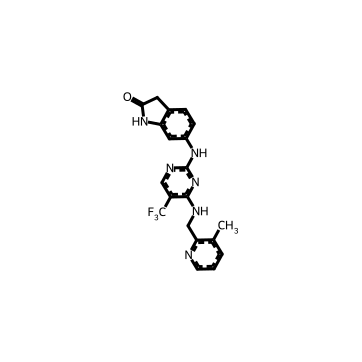 Cc1cccnc1CNc1nc(Nc2ccc3c(c2)NC(=O)C3)ncc1C(F)(F)F